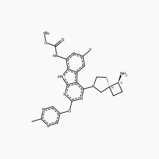 Cc1ncc(Oc2nc(N3CC[C@]4(CC[C@@H]4N)C3)c3c(n2)[nH]c2c(NC(=O)OC(C)(C)C)cc(F)cc23)cn1